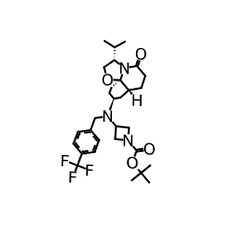 CC(C)[C@H]1CO[C@]23CC[C@H](N(Cc4ccc(C(F)(F)F)cc4)C4CN(C(=O)OC(C)(C)C)C4)C[C@H]2CCC(=O)N13